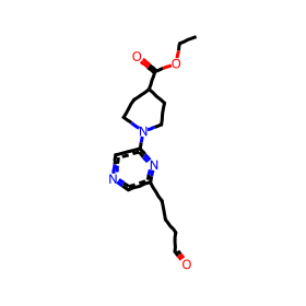 CCOC(=O)C1CCN(c2cncc(CCCC=O)n2)CC1